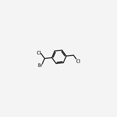 ClCc1ccc(C(Cl)Br)cc1